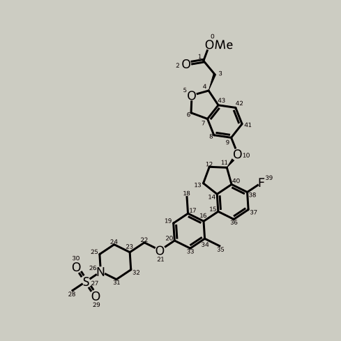 COC(=O)C[C@@H]1OCc2cc(O[C@@H]3CCc4c(-c5c(C)cc(OCC6CCN(S(C)(=O)=O)CC6)cc5C)ccc(F)c43)ccc21